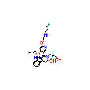 COc1cc(OCCNCCCF)ncc1[C@@H]1c2[nH]c3ccccc3c2C[C@@H](O)N1CC(F)(F)CO